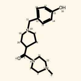 CN1CCN(C(=O)C2CCN(Cc3ccc(O)cc3)CC2)CC1